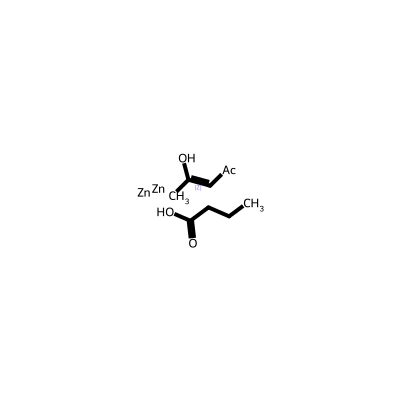 CC(=O)/C=C(/C)O.CCCC(=O)O.[Zn].[Zn]